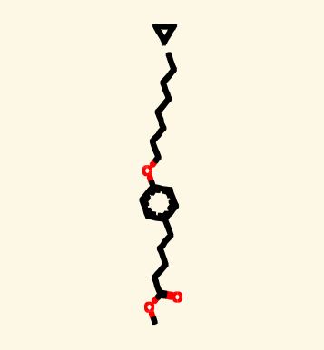 C1CC1.CCCCCCCCOc1ccc(CCCCC(=O)OC)cc1